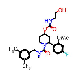 COc1cc(F)ccc1C1CC(OC(=O)NCCO)CCN1C(=O)N(C)Cc1cc(C(F)(F)F)cc(C(F)(F)F)c1